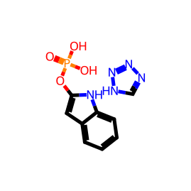 O=P(O)(O)Oc1cc2ccccc2[nH]1.c1nnn[nH]1